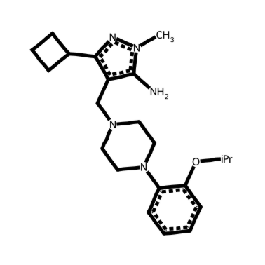 CC(C)Oc1ccccc1N1CCN(Cc2c(C3CCC3)nn(C)c2N)CC1